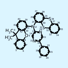 CC1(C)c2ccccc2Oc2c(N(c3cnc(-c4ccccc4)cn3)c3cccc4c3Sc3ccccc3S4)cccc21